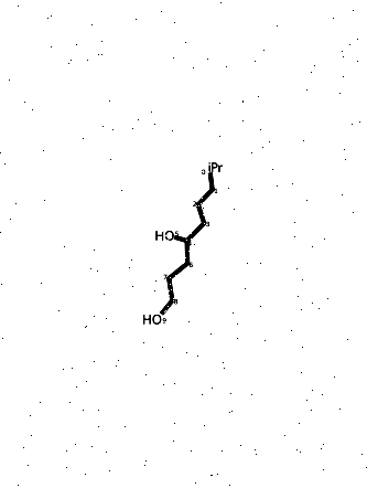 CC(C)CCCC(O)CCCO